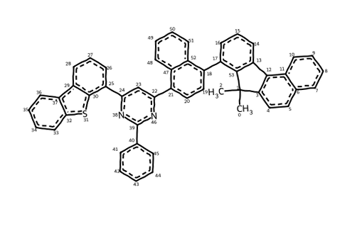 CC1(C)c2ccc3ccccc3c2-c2cccc(-c3ccc(-c4cc(-c5cccc6c5sc5ccccc56)nc(-c5ccccc5)n4)c4ccccc34)c21